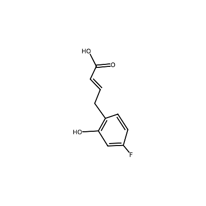 O=C(O)C=CCc1ccc(F)cc1O